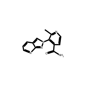 Cc1nccc(C(N)=O)c1-n1cc2cccnc2n1